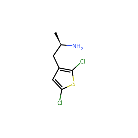 C[C@@H](N)Cc1cc(Cl)sc1Cl